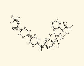 COC(=O)C1(c2ccccc2CCc2nc(Nc3ccc(C4CCN(C(=O)OC(C)(C)C)CC4)cc3)ncc2C(F)(F)F)CCC1